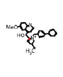 C=CC1C[N+]2(Cc3ccc(-c4ccccc4)cc3)CCC1CC2[C@@H](O)c1ccnc2ccc(OC)cc12